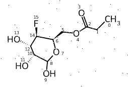 CCC(=O)OC[C@H]1OC(O)[C@H](O)[C@H](O)[C@H]1F